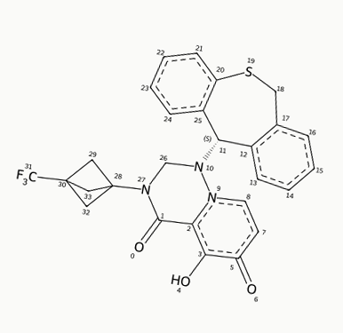 O=C1c2c(O)c(=O)ccn2N([C@H]2c3ccccc3CSc3ccccc32)CN1C12CC(C(F)(F)F)(C1)C2